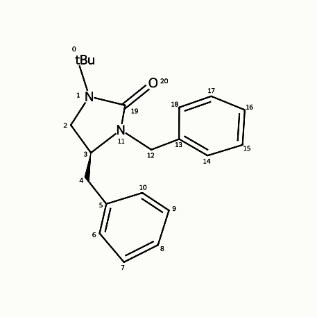 CC(C)(C)N1C[C@H](Cc2ccccc2)N(Cc2ccccc2)C1=O